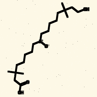 CC(C)(CCO)CCCCC[S+]([O-])CCCCCC(C)(C)CC(=O)O